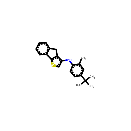 Cc1cc(C(C)(C)C)ccc1Nc1csc2c1Cc1ccccc1-2